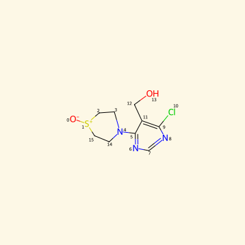 [O-][S+]1CCN(c2ncnc(Cl)c2CO)CC1